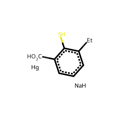 CCc1cccc(C(=O)O)c1S.[Hg].[NaH]